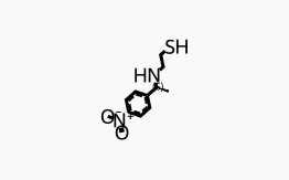 C[C@H](NCCS)c1ccc([N+](=O)[O-])cc1